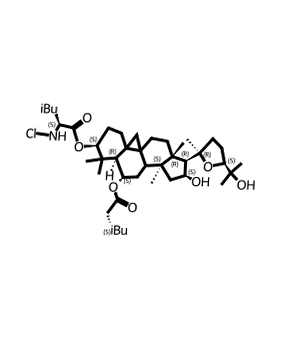 CCC(C)[C@H](NCl)C(=O)O[C@H]1CCC23CC24CC[C@]2(C)[C@@H]([C@@]5(C)CC[C@@H](C(C)(C)O)O5)[C@@H](O)C[C@@]2(C)C4C[C@H](OC(=O)C[C@@H](C)CC)[C@H]3C1(C)C